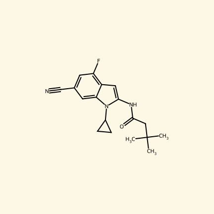 CC(C)(C)CC(=O)Nc1cc2c(F)cc(C#N)cc2n1C1CC1